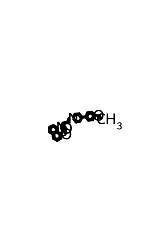 COc1ccc(C2=CCN(CCCN3c4cccc5cccc(c45)S3(=O)=O)CC2)cc1